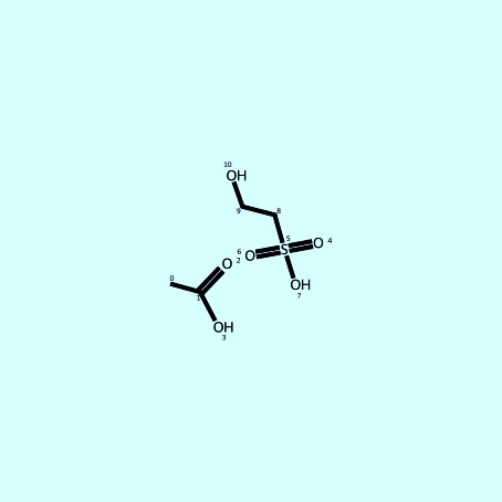 CC(=O)O.O=S(=O)(O)CCO